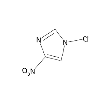 O=[N+]([O-])c1cn(Cl)cn1